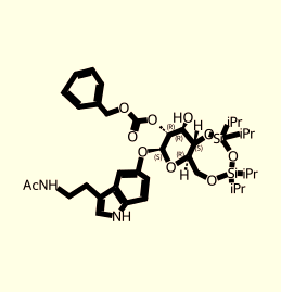 CC(=O)NCCc1c[nH]c2ccc(O[C@@H]3O[C@@H]4CO[Si](C(C)C)(C(C)C)O[Si](C(C)C)(C(C)C)O[C@H]4[C@H](O)[C@H]3OC(=O)OCc3ccccc3)cc12